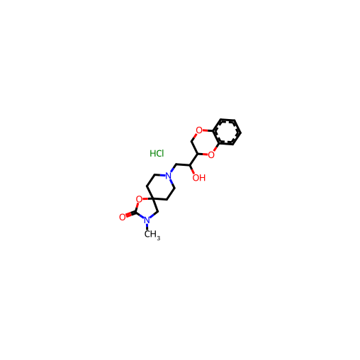 CN1CC2(CCN(CC(O)C3COc4ccccc4O3)CC2)OC1=O.Cl